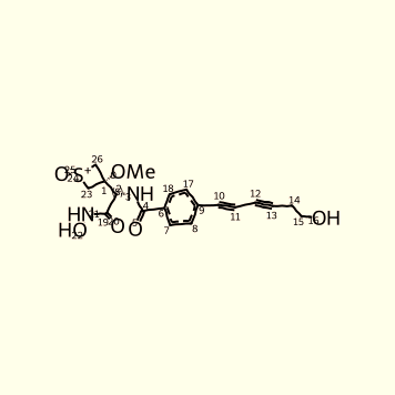 CO[C@]1([C@H](NC(=O)c2ccc(C#CC#CCCO)cc2)C(=O)NO)C[S@+]([O-])C1